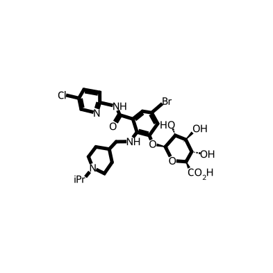 CC(C)N1CCC(CNc2c(O[C@@H]3O[C@H](C(=O)O)[C@@H](O)[C@H](O)[C@H]3O)cc(Br)cc2C(=O)Nc2ccc(Cl)cn2)CC1